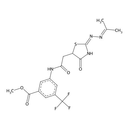 COC(=O)c1cc(NC(=O)CC2S/C(=N/N=C(C)C)NC2=O)cc(C(F)(F)F)c1